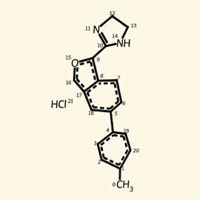 Cc1ccc(-c2ccc3c(C4=NCCN4)occ3c2)cc1.Cl